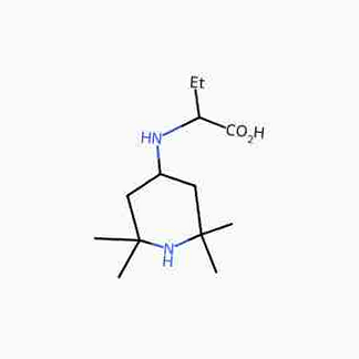 CCC(NC1CC(C)(C)NC(C)(C)C1)C(=O)O